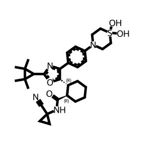 CC1(C)C(c2nc(-c3ccc(N4CCS(O)(O)CC4)cc3)c([C@@H]3CCCC[C@H]3C(=O)NC3(C#N)CC3)o2)C1(C)C